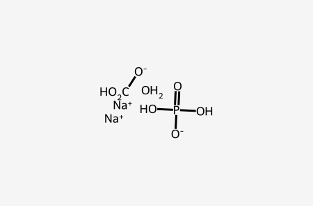 O.O=C([O-])O.O=P([O-])(O)O.[Na+].[Na+]